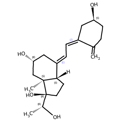 C=C1CC[C@H](O)C/C1=C/C=C1\C[C@@H](O)C[C@@]2(C)[C@H]1CC[C@]2(O)[C@@H](C)O